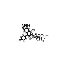 CC(C)c1c(-c2ccc(F)cc2)c2cc3cn[nH]c3cc2c(=O)n1C1CC(C)(C(=O)O)C1